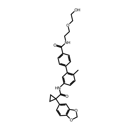 Cc1ccc(NC(=O)C2(c3ccc4c(c3)OCO4)CC2)cc1-c1ccc(C(=O)NCCOCCO)cc1